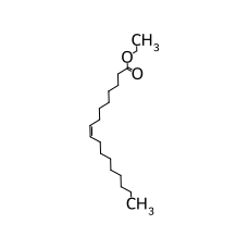 CCCCCCCC/C=C\CCCCCCC(=O)OCC